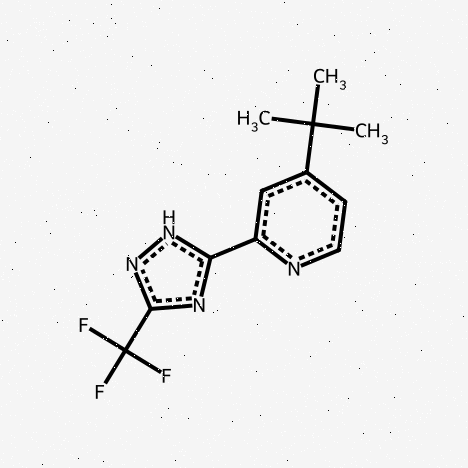 CC(C)(C)c1ccnc(-c2nc(C(F)(F)F)n[nH]2)c1